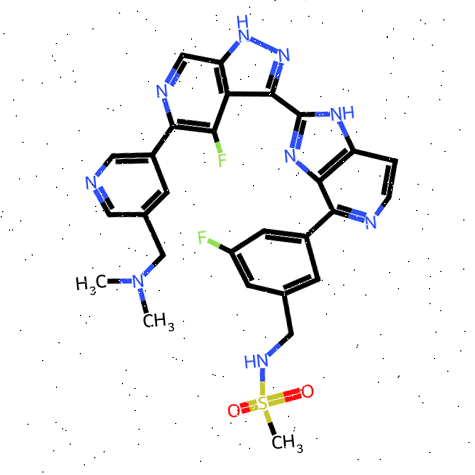 CN(C)Cc1cncc(-c2ncc3[nH]nc(-c4nc5c(-c6cc(F)cc(CNS(C)(=O)=O)c6)nccc5[nH]4)c3c2F)c1